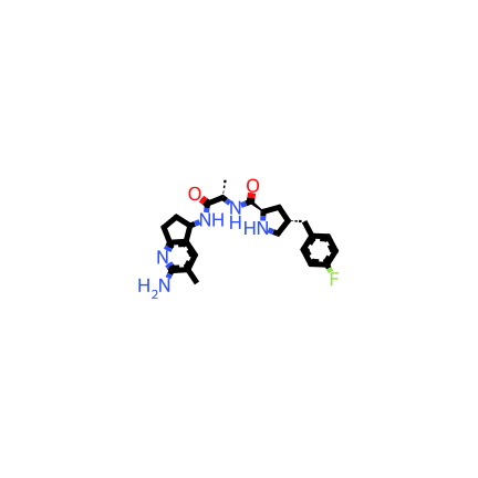 Cc1cc2c(nc1N)CCC2NC(=O)[C@H](C)NC(=O)[C@H]1C[C@H](Cc2ccc(F)cc2)CN1